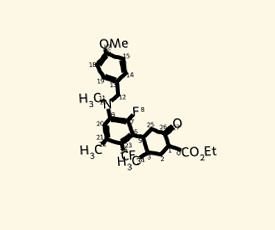 CCOC(=O)C1CC(C)C(c2c(F)c(N(C)Cc3ccc(OC)cc3)cc(C)c2C(F)(F)F)CC1=O